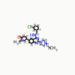 CCCN1CCN(c2nc(NCc3cccc(Cl)c3)c3cc(-c4ccc(=O)n(C)c4)ccc3n2)CC1